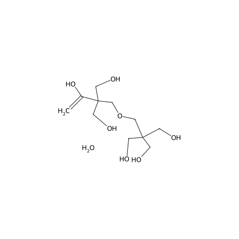 C=C(O)C(CO)(CO)COCC(CO)(CO)CO.O